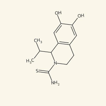 CC(C)C1c2cc(O)c(O)cc2CCN1C(N)=S